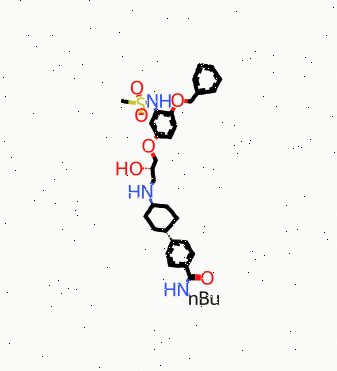 CCCCNC(=O)c1ccc([C@H]2CC[C@H](NC[C@H](O)COc3ccc(OCc4ccccc4)c(NS(C)(=O)=O)c3)CC2)cc1